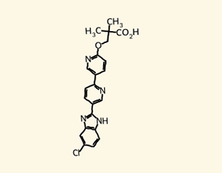 CC(C)(COc1ccc(-c2ccc(-c3nc4cc(Cl)ccc4[nH]3)cn2)cn1)C(=O)O